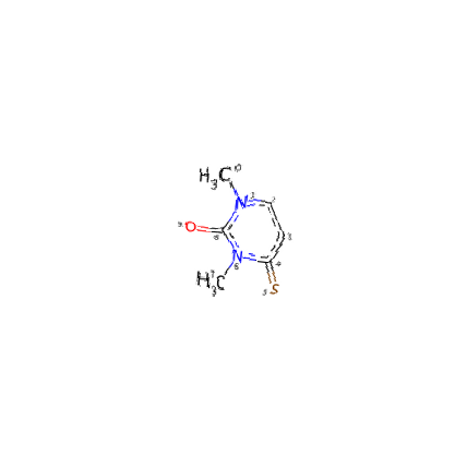 Cn1ccc(=S)n(C)c1=O